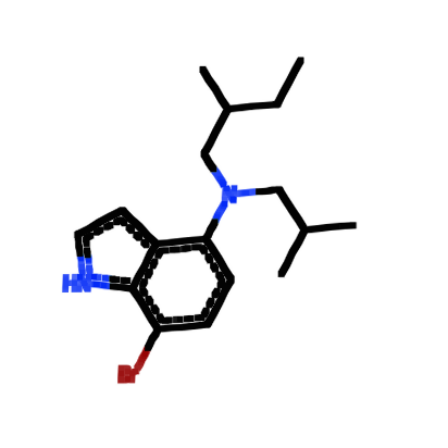 CCC(C)CN(CC(C)C)c1ccc(Br)c2[nH]ccc12